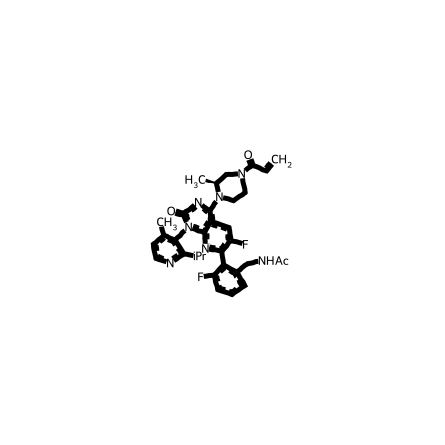 C=CC(=O)N1CCN(c2nc(=O)n(-c3c(C)ccnc3C(C)C)c3nc(-c4c(F)cccc4CNC(C)=O)c(F)cc23)[C@@H](C)C1